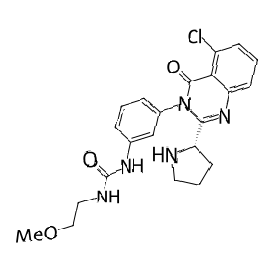 COCCNC(=O)Nc1cccc(-n2c([C@@H]3CCCN3)nc3cccc(Cl)c3c2=O)c1